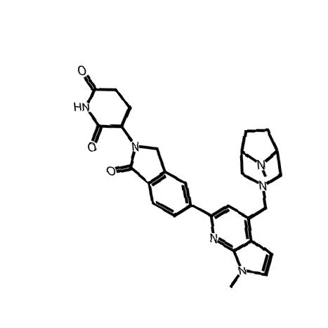 CN1C2CCC1CN(Cc1cc(-c3ccc4c(c3)CN(C3CCC(=O)NC3=O)C4=O)nc3c1ccn3C)C2